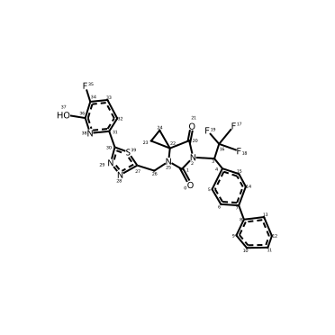 O=C1N(C(c2ccc(-c3ccccc3)cc2)C(F)(F)F)C(=O)C2(CC2)N1Cc1nnc(-c2ccc(F)c(O)n2)s1